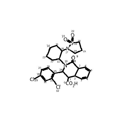 O=C(O)C1C2C=CC=CC2C(=O)N(C2CCCCC2N2CCCS2(=O)=O)C1c1ccc(Cl)cc1Cl